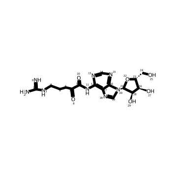 N=C(N)NCCCC(=O)C(=O)Nc1ncnc2c1ncn2[C@@H]1O[C@H](CO)[C@@H](O)[C@H]1O